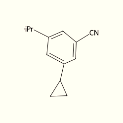 C[C](C)c1cc(C#N)cc(C2CC2)c1